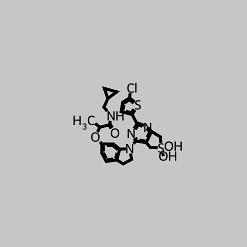 CC(Oc1ccc2c(c1)N(c1nc(-c3ccc(Cl)s3)nc3c1CS(O)(O)C3)CC2)C(=O)NCC1CC1